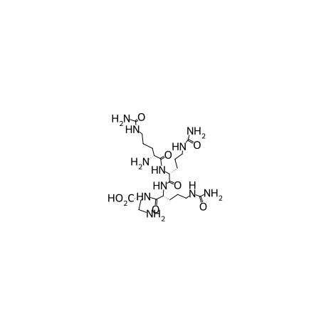 NC[C@@H](NC(=O)[C@@H](CCCNC(N)=O)NC(=O)[C@@H](CCCNC(N)=O)NC(=O)[C@H](N)CCCNC(N)=O)C(=O)O